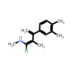 C=C(/C(C)=C(/Cl)NC)c1ccc(C)c(C)c1